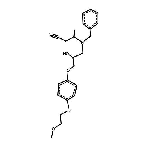 COCCOc1ccc(OCC(O)CN(Cc2ccccc2)C(C)CC#N)cc1